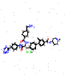 Cc1cc(C(=O)NC2CCN(C)CC2)ccc1-c1ccc(C[C@H](NC(=O)C2CCC(CN)CC2)C(=O)Nc2ccc(-c3nn[nH]n3)cc2)cc1.Cl